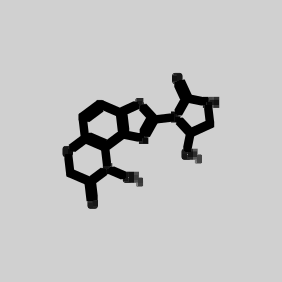 CC1CNC(=O)N1c1nc2c3c(ccc2s1)OCC(=O)N3C